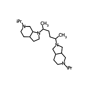 CC(C)N1CCC2CN(C(C)CCC(C)N3CCC4CCN(C(C)C)CC43)CC2C1